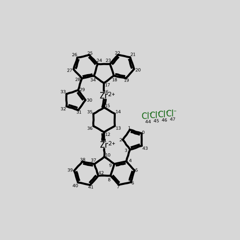 C1=CCC(c2cccc3c2[CH]([Zr+2]=[C]2CC[C](=[Zr+2][CH]4c5ccccc5-c5cccc(C6=CC=CC6)c54)CC2)c2ccccc2-3)=C1.[Cl-].[Cl-].[Cl-].[Cl-]